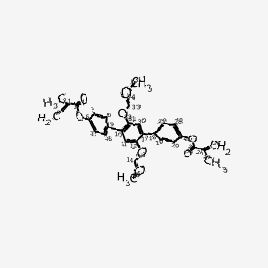 C=C(C)C(=O)Oc1ccc(-c2cc(OCOC)c(-c3ccc(OC(=O)C(=C)C)cc3)cc2OCOC)cc1